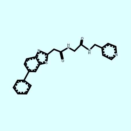 O=C(CNC(=O)Cc1nc2ccc(-c3ccccc3)cc2s1)NCc1ccncc1